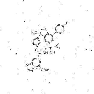 COc1cc(C(=O)NCC(O)(c2cc3c(c(-c4ccc(F)cc4)n2)OC[C@@]3(n2cnnc2)C(F)(F)F)C2CC2)cc2scnc12